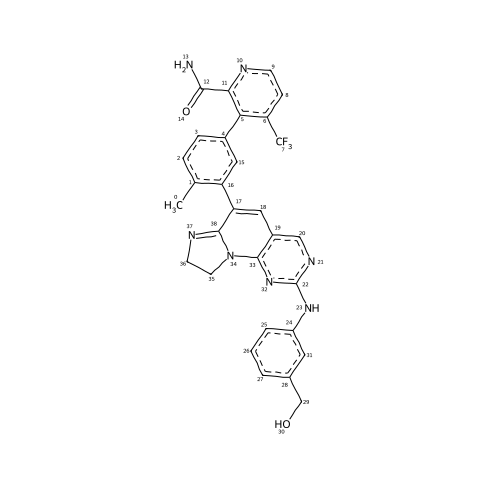 Cc1ccc(-c2c(C(F)(F)F)ccnc2C(N)=O)cc1C1=Cc2cnc(Nc3cccc(CO)c3)nc2N2CCN=C12